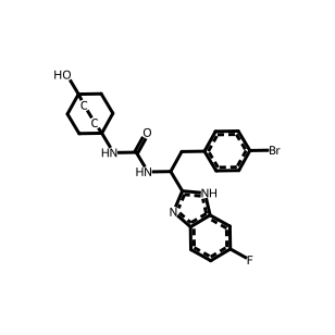 O=C(NC(Cc1ccc(Br)cc1)c1nc2ccc(F)cc2[nH]1)NC12CCC(O)(CC1)CC2